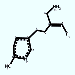 N#Cc1ccc(CC/C(=C\F)CN)cn1